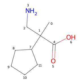 CC(CN)(C(=O)O)C1CCCC1